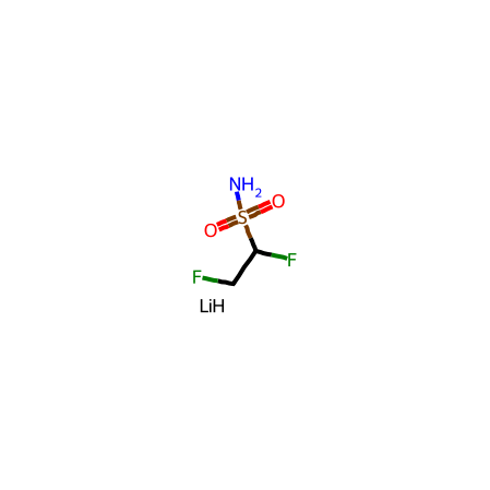 NS(=O)(=O)C(F)CF.[LiH]